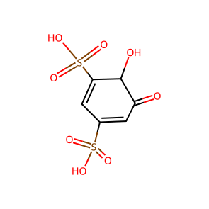 O=C1C=C(S(=O)(=O)O)C=C(S(=O)(=O)O)C1O